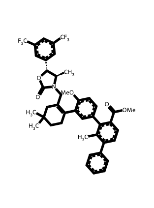 COC(=O)c1ccc(-c2ccccc2)c(C)c1-c1ccc(OC)c(C2=C(CN3C(=O)O[C@H](c4cc(C(F)(F)F)cc(C(F)(F)F)c4)[C@H]3C)CC(C)(C)CC2)c1